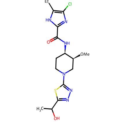 CCc1[nH]c(C(=O)N[C@@H]2CCN(c3nnc(C(C)O)s3)C[C@@H]2OC)nc1Cl